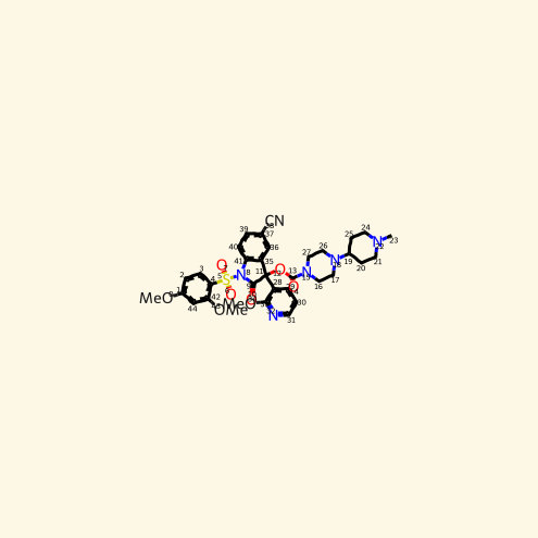 COc1ccc(S(=O)(=O)N2C(=O)C(OC(=O)N3CCN(C4CCN(C)CC4)CC3)(c3cccnc3OC)c3cc(C#N)ccc32)c(OC)c1